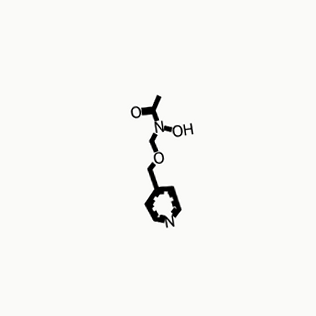 CC(=O)N(O)COCc1ccncc1